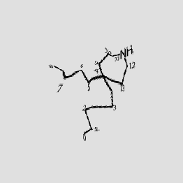 CCCCC1(CCCC)CCNCC1